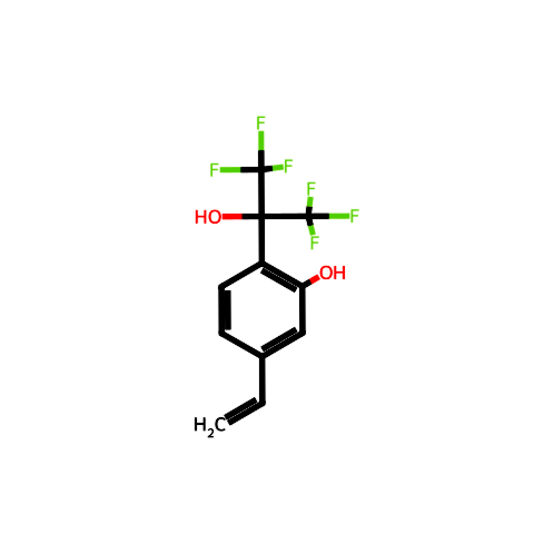 C=Cc1ccc(C(O)(C(F)(F)F)C(F)(F)F)c(O)c1